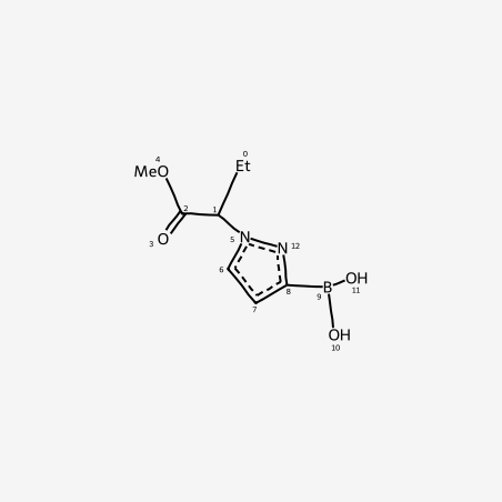 CCC(C(=O)OC)n1ccc(B(O)O)n1